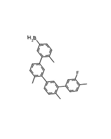 Bc1ccc(C)c(-c2ccc(C)c(-c3ccc(C)c(-c4ccc(C)c(F)c4)c3)c2)c1